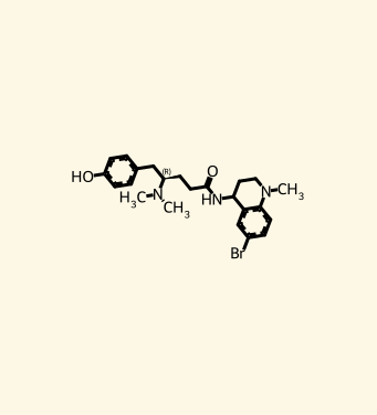 CN1CCC(NC(=O)CC[C@H](Cc2ccc(O)cc2)N(C)C)c2cc(Br)ccc21